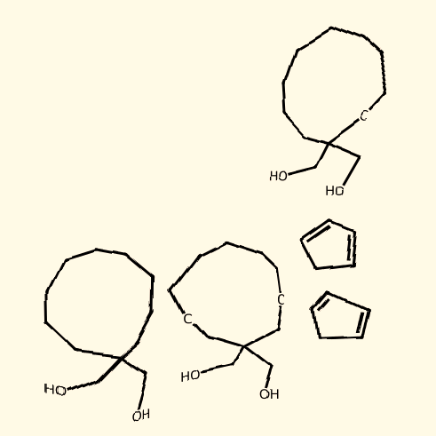 C1=CCC=C1.C1=CCC=C1.OCC1(CO)CCCCCCCCC1.OCC1(CO)CCCCCCCCC1.OCC1(CO)CCCCCCCCC1